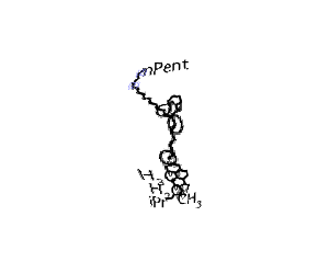 CCCCC/C=C\C/C=C\CCCCCCCCOCC(CN1CCCCC1)OCCCCO[C@H]1CC[C@@]2(C)C(=CCC3C2CC[C@@]2(C)C3CC[C@@H]2[C@H](C)CCCC(C)C)C1